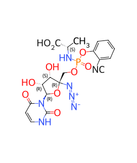 C[C@H](NP(=O)(OC[C@@]1(N=[N+]=[N-])O[C@@H](n2c(=O)cc[nH]c2=O)[C@H](O)[C@@H]1O)Oc1ccccc1C#N)C(=O)O